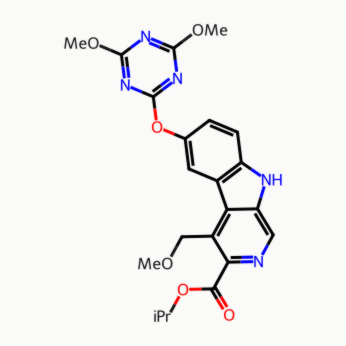 COCc1c(C(=O)OC(C)C)ncc2[nH]c3ccc(Oc4nc(OC)nc(OC)n4)cc3c12